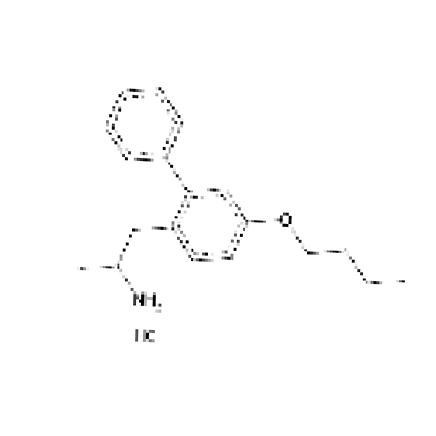 CCCCOc1ccc(CC(C)N)c(-c2ccccc2)c1.Cl